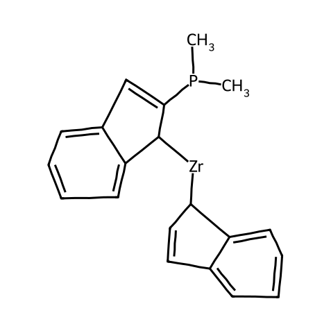 CP(C)C1=Cc2ccccc2[CH]1[Zr][CH]1C=Cc2ccccc21